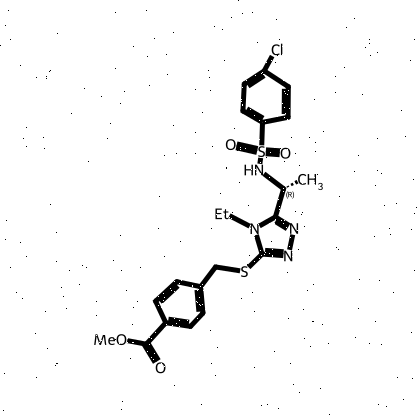 CCn1c(SCc2ccc(C(=O)OC)cc2)nnc1[C@@H](C)NS(=O)(=O)c1ccc(Cl)cc1